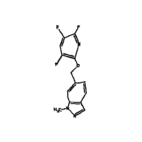 Cn1ncc2ccc(COc3nc(F)c(F)cc3F)cc21